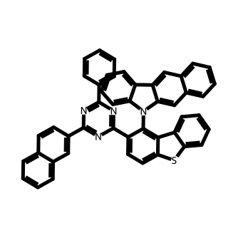 c1ccc(-c2nc(-c3ccc4ccccc4c3)nc(-c3ccc4sc5ccccc5c4c3-n3c4ccccc4c4cc5ccccc5cc43)n2)cc1